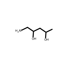 CC(O)CC(O)[CH2][AlH2]